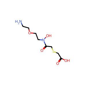 NCCOCCN(O)C(=O)CSCC(=O)O